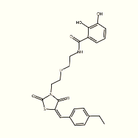 CCc1ccc(C=C2SC(=O)N(CCOCCNC(=O)c3cccc(O)c3O)C2=O)cc1